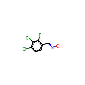 ON=Cc1ccc(Cl)c(Cl)c1F